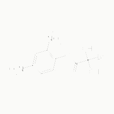 CC(C)(Br)C(=O)Oc1ccc([N+](=O)[O-])cc1[N+](=O)[O-]